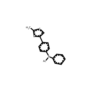 [CH2]c1nc(-c2ccc(N(C(C)=O)c3ccccc3)cc2)cs1